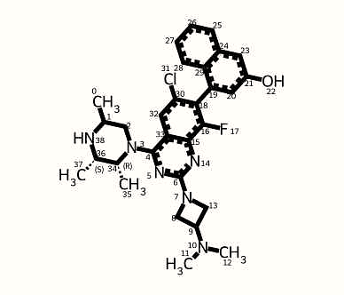 CC1CN(c2nc(N3CC(N(C)C)C3)nc3c(F)c(-c4cc(O)cc5ccccc45)c(Cl)cc23)[C@H](C)[C@H](C)N1